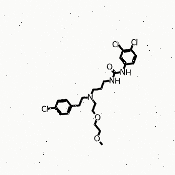 COCCOCCN(CCCNC(=O)Nc1ccc(Cl)c(Cl)c1)CCc1ccc(Cl)cc1